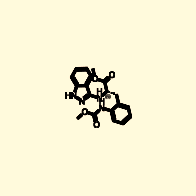 COC(=O)Nc1ccccc1C[C@H](Nc1n[nH]c2ccccc12)C(=O)OC